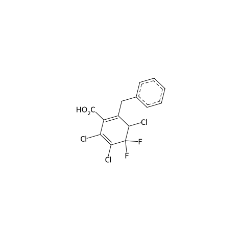 O=C(O)C1=C(Cc2ccccc2)C(Cl)C(F)(F)C(Cl)=C1Cl